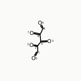 O=CC(=O)C(=O)C(=O)C=O